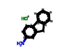 Cl.Nc1ccc2c(c1)Cc1ccccc1-2